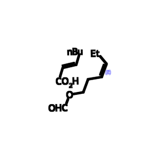 CC/C=C\CCOC=O.CCCCC=CC(=O)O